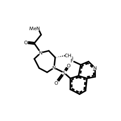 CNCC(=O)N1CCCN(S(=O)(=O)c2cccc3cncc(F)c23)[C@@H](C)C1